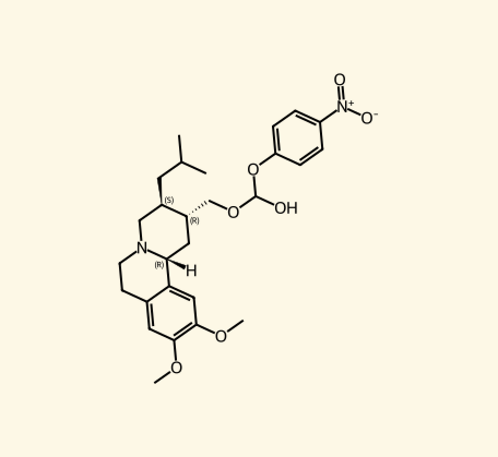 COc1cc2c(cc1OC)[C@H]1C[C@@H](COC(O)Oc3ccc([N+](=O)[O-])cc3)[C@H](CC(C)C)CN1CC2